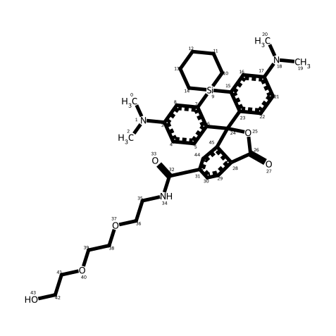 CN(C)c1ccc2c(c1)[Si]1(CCCCC1)c1cc(N(C)C)ccc1C21OC(=O)c2ccc(C(=O)NCCOCCOCCO)cc21